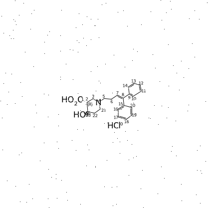 Cl.O=C(O)[C@@H]1CN(CCC=C(c2ccccc2)c2ccccc2)CC[C@H]1O